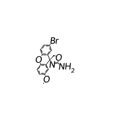 COc1ccc2c(c1)[C@]1(COC(N)=N1)c1cc(Br)ccc1O2